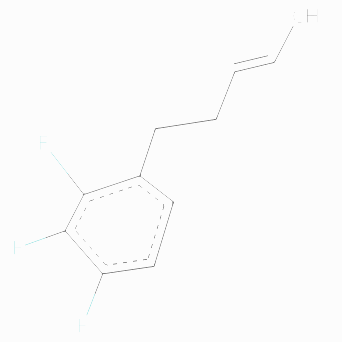 C/C=C/CCc1ccc(F)c(F)c1F